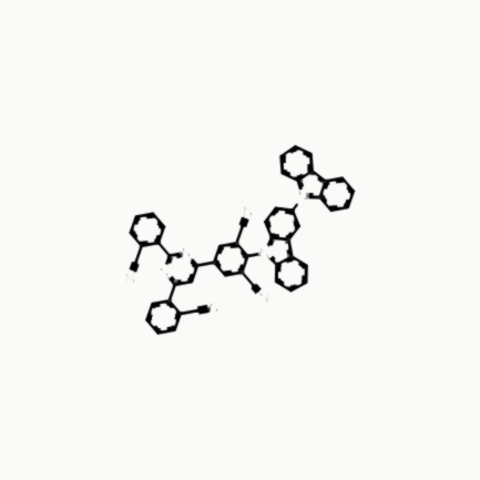 N#Cc1ccccc1-c1cc(-c2cc(C#N)c(-n3c4ccccc4c4cc(-n5c6ccccc6c6ccccc65)ccc43)c(C#N)c2)nc(-c2ccccc2C#N)n1